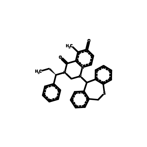 CC[C@@H](c1ccccc1)N1CN(C2c3ccccc3CSc3ccccc32)n2ccc(=O)c(C)c2C1=O